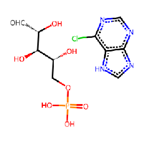 Clc1ncnc2nc[nH]c12.O=C[C@H](O)[C@H](O)[C@H](O)COP(=O)(O)O